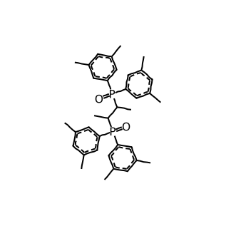 Cc1cc(C)cc(P(=O)(c2cc(C)cc(C)c2)C(C)C(C)P(=O)(c2cc(C)cc(C)c2)c2cc(C)cc(C)c2)c1